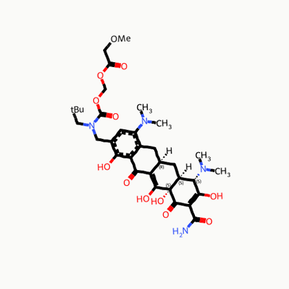 COCC(=O)OCOC(=O)N(Cc1cc(N(C)C)c2c(c1O)C(=O)C1=C(O)[C@]3(O)C(=O)C(C(N)=O)=C(O)[C@@H](N(C)C)[C@@H]3C[C@@H]1C2)CC(C)(C)C